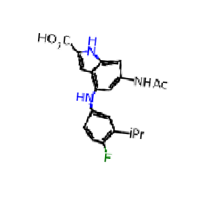 CC(=O)Nc1cc(Nc2ccc(F)c(C(C)C)c2)c2cc(C(=O)O)[nH]c2c1